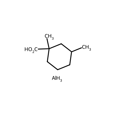 CC1CCCC(C)(C(=O)O)C1.[AlH3]